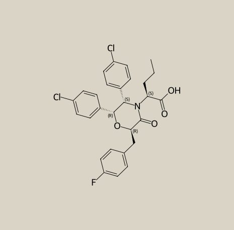 CCC[C@@H](C(=O)O)N1C(=O)[C@@H](Cc2ccc(F)cc2)O[C@H](c2ccc(Cl)cc2)[C@@H]1c1ccc(Cl)cc1